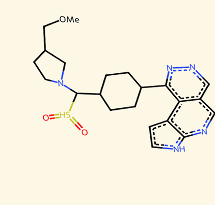 COCC1CCN(C(C2CCC(c3nncc4cnc5[nH]ccc5c34)CC2)[SH](=O)=O)C1